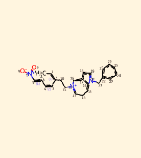 C\C=C(/C=C\C=C\[N+](=O)[O-])CC[N+]1=CCC=c2c(ccn2Cc2ccccc2)=C1